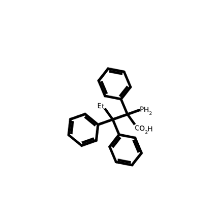 CCC(c1ccccc1)(c1ccccc1)C(P)(C(=O)O)c1ccccc1